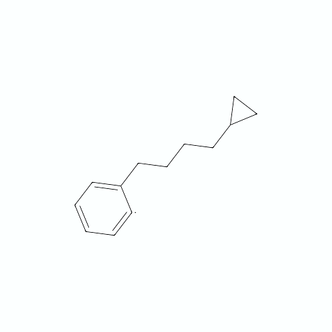 [c]1ccccc1CCCCC1CC1